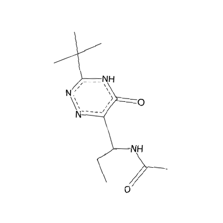 CCC(NC(C)=O)c1nnc(C(C)(C)C)[nH]c1=O